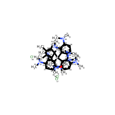 CC1=C(C)[C]([Ti+3])([Si](c2c(N(C)C)ccc(N(C)C)c2N(C)C)(c2c(N(C)C)ccc(N(C)C)c2N(C)C)c2c(N(C)C)ccc(N(C)C)c2N(C)C)C(C)=C1C.[Cl-].[Cl-].[Cl-]